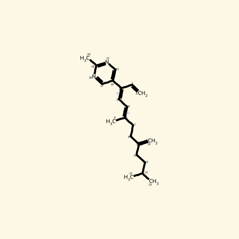 C=C/C(=C\C=C(/C)CCC(=C)CCC(C)C)c1cnc(C)nc1